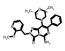 COc1ncccc1Cn1nc2c(N3C[C@@H](C)O[C@@H](C)C3)c(-c3ccccc3)nc(N)n2c1=O